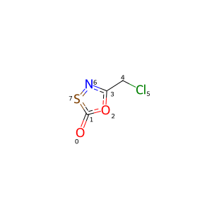 O=c1oc(CCl)ns1